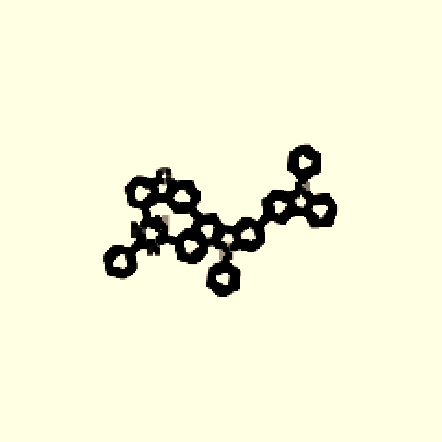 C1=c2oc3ccc(-c4ccc5c(c4)c4cc(-c6ccc7c(c6)c6ccccc6n7-c6ccccc6)ccc4n5-c4ccccc4)cc3c2=C(c2nc(-c3ccccc3)nc(-c3ccccc3)n2)CC1